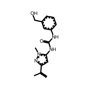 C=C(C)c1cc(NC(=O)Nc2cccc(CO)c2)n(C)n1